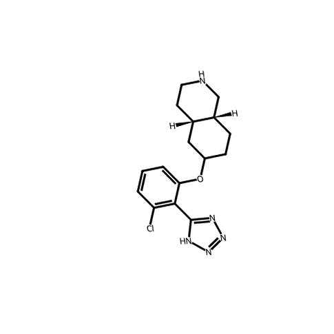 Clc1cccc(OC2CC[C@H]3CNCC[C@H]3C2)c1-c1nnn[nH]1